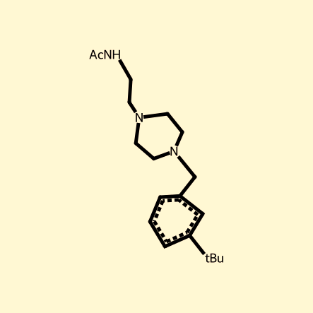 CC(=O)NCCN1CCN(Cc2cccc(C(C)(C)C)c2)CC1